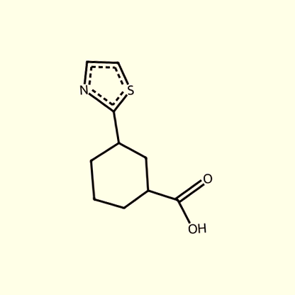 O=C(O)C1CCCC(c2nccs2)C1